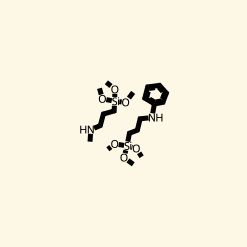 CNCCC[Si](OC)(OC)OC.CO[Si](CCCNc1ccccc1)(OC)OC